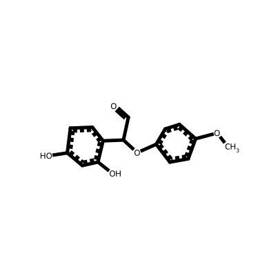 COc1ccc(OC(C=O)c2ccc(O)cc2O)cc1